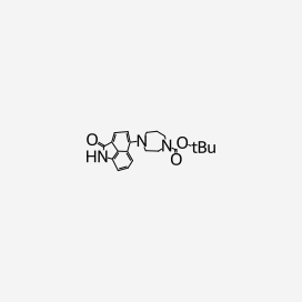 CC(C)(C)OC(=O)N1CCCN(c2ccc3c4c(cccc24)NC3=O)CC1